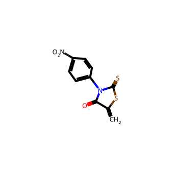 C=C1SC(=S)N(c2ccc([N+](=O)[O-])cc2)C1=O